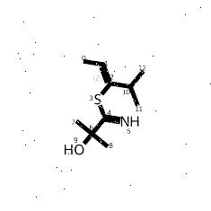 C/C=C(\SC(=N)C(C)(C)O)C(C)C